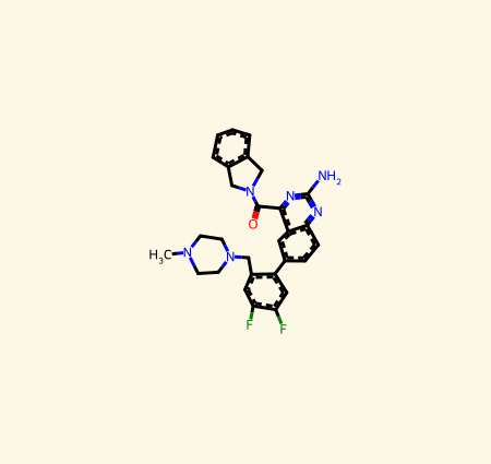 CN1CCN(Cc2cc(F)c(F)cc2-c2ccc3nc(N)nc(C(=O)N4Cc5ccccc5C4)c3c2)CC1